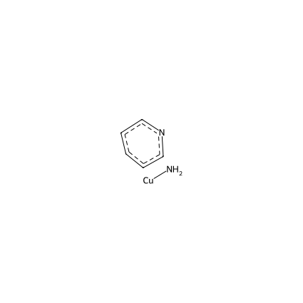 [NH2][Cu].c1ccncc1